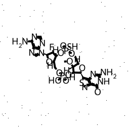 CO[C@H]1[C@H]2OP(=O)(O)OC[C@H]3O[C@@H](n4cnc5c(N)ncnc54)[C@H](F)[C@@H]3OP(=O)(S)OC[C@H]1O[C@H]2c1snc2c(=O)[nH]c(N)nc12